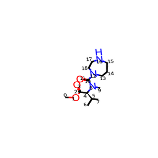 COC(=O)[C@H](C(C)C)N(C)C(=O)N1CCCNCC1